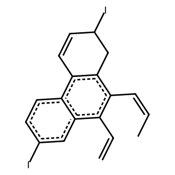 C=Cc1c(/C=C\C)c2c(c3ccc(I)cc13)C=CC(I)C2